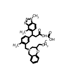 COCC1CN(Cc2cc(C(CC(=O)O)c3ccc4c(nnn4C)c3C)ccc2C)Cc2ccccc2O1.O=CO